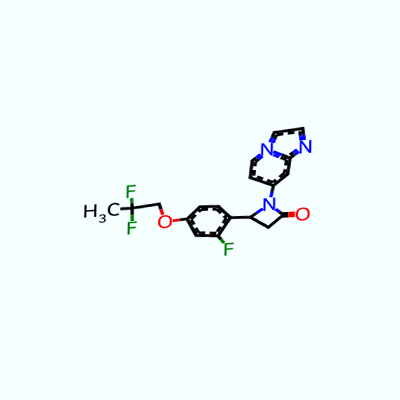 CC(F)(F)COc1ccc(C2CC(=O)N2c2ccn3ccnc3c2)c(F)c1